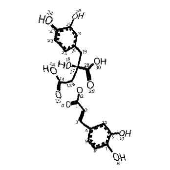 O=C(/C=C/c1ccc(O)c(O)c1)O[C@H](C(=O)O)[C@](O)(Cc1ccc(O)c(O)c1)C(=O)O